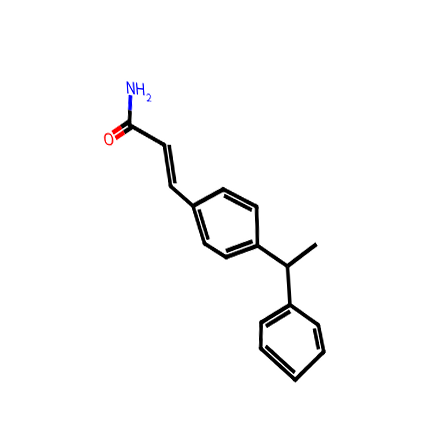 CC(c1ccccc1)c1ccc(C=CC(N)=O)cc1